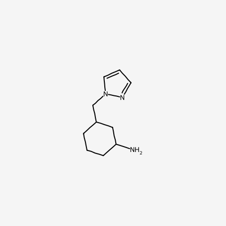 NC1CCCC(Cn2cccn2)C1